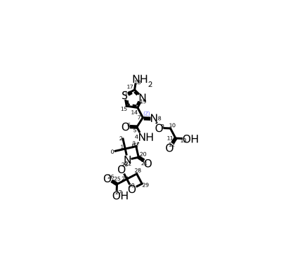 CC1(C)[C@H](NC(=O)/C(=N\OCC(=O)O)c2csc(N)n2)C(=O)N1OC1(C(=O)O)CCO1